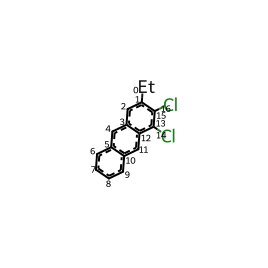 CCc1cc2cc3ccccc3cc2c(Cl)c1Cl